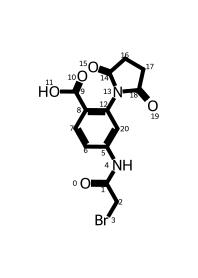 O=C(CBr)Nc1ccc(C(=O)O)c(N2C(=O)CCC2=O)c1